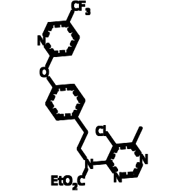 CCOC(=O)N(CCc1ccc(Oc2ccc(C(F)(F)F)cn2)cc1)c1ncnc(C)c1Cl